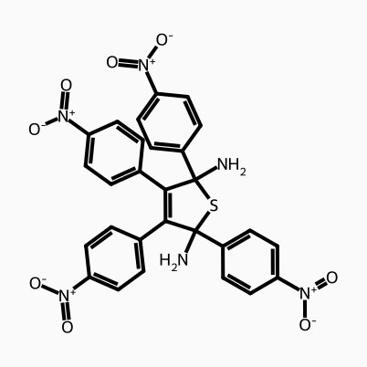 NC1(c2ccc([N+](=O)[O-])cc2)SC(N)(c2ccc([N+](=O)[O-])cc2)C(c2ccc([N+](=O)[O-])cc2)=C1c1ccc([N+](=O)[O-])cc1